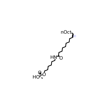 CCCCCCCC/C=C\CCCCCCCC(=O)NCCCCCCOP(C)(=O)O